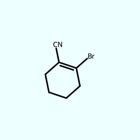 N#CC1=C(Br)CCCC1